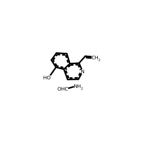 C=Cc1nccc2c(O)cccc12.NC=O